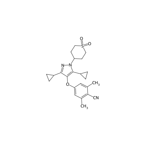 Cc1cc(Oc2c(C3CC3)nn(C3CCS(=O)(=O)CC3)c2C2CC2)cc(C)c1C#N